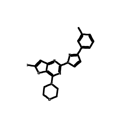 Cc1cccc(-c2ccn(-c3nc(N4CCOCC4)c4oc(I)cc4n3)n2)c1